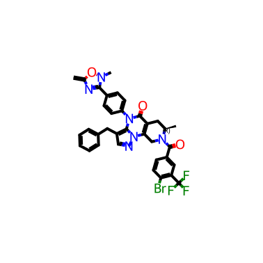 C=C1N=C(c2ccc(-n3c(=O)c4c(n5ncc(Cc6ccccc6)c35)CN(C(=O)c3ccc(Br)c(C(F)(F)F)c3)[C@H](C)C4)cc2)N(C)O1